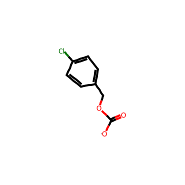 [O]C(=O)OCc1ccc(Cl)cc1